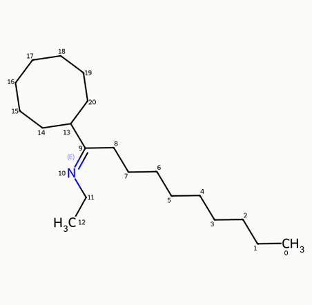 CCCCCCCCC/C(=N\CC)C1CCCCCCC1